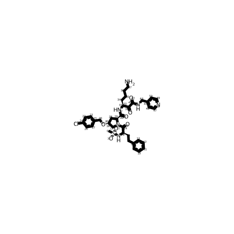 CS(=O)(=O)N[C@H](CCc1ccccc1)C(=O)N1C[C@H](OCc2ccc(Cl)cc2)C[C@H]1C(=O)N[C@@H](CCCCN)C(=O)C(=O)NCc1ccncc1